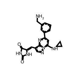 NCc1cccc(-c2cc(NC3CC3)n3ncc(C=C4NC(=O)NC4=O)c3n2)c1